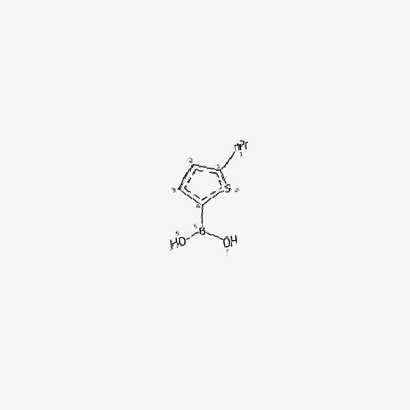 CCCc1ccc(B(O)O)s1